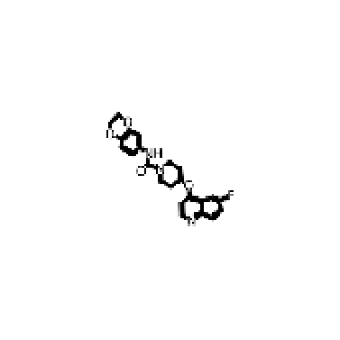 O=C(Nc1ccc2c(c1)OCCO2)N1CCC(Oc2ccnc3ccc(F)cc23)CC1